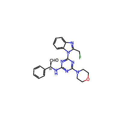 O=C[C@@H](Nc1nc(N2CCOCC2)nc(-n2c(CF)nc3ccccc32)n1)c1ccccc1